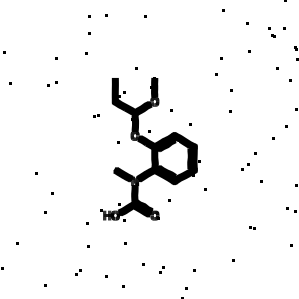 CCC(OC)Oc1ccccc1N(C)C(=O)O